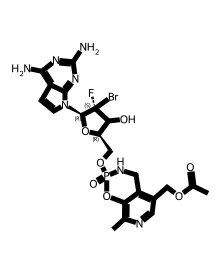 CC(=O)OCc1cnc(C)c2c1CNP(=O)(OC[C@H]1O[C@@H](n3ccc4c(N)nc(N)nc43)[C@@](F)(Br)C1O)O2